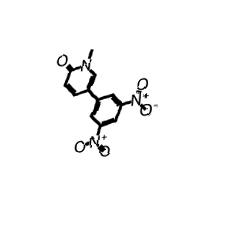 Cn1cc(-c2cc([N+](=O)[O-])cc([N+](=O)[O-])c2)ccc1=O